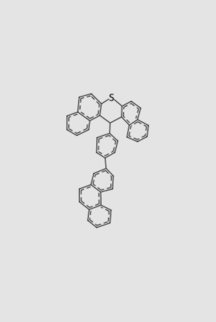 c1ccc2c3c(ccc2c1)Sc1ccc2ccccc2c1C3c1ccc(-c2ccc3c(ccc4ccccc43)c2)cc1